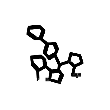 O=C(O)C1CCCN1C(c1ccc(-c2ccccc2)cc1)c1cn[nH]c1-c1ccccc1F